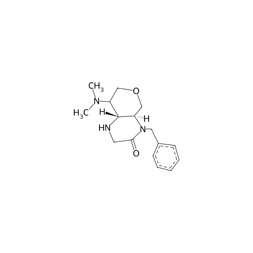 CN(C)C1COC[C@@H]2[C@@H]1NCC(=O)N2Cc1ccccc1